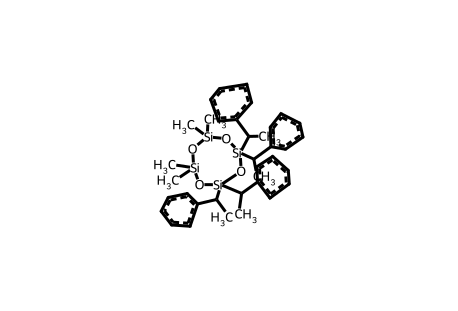 CC(c1ccccc1)[Si]1(C(C)c2ccccc2)O[Si](C)(C)O[Si](C)(C)O[Si](C(C)c2ccccc2)(C(C)c2ccccc2)O1